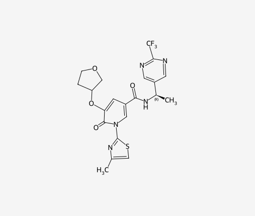 Cc1csc(-n2cc(C(=O)N[C@H](C)c3cnc(C(F)(F)F)nc3)cc(OC3CCOC3)c2=O)n1